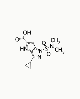 CN(C)S(=O)(=O)n1nc(C2CC2)c2[nH]c(C(=O)O)cc21